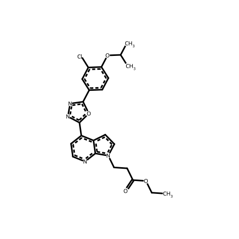 CCOC(=O)CCn1ccc2c(-c3nnc(-c4ccc(OC(C)C)c(Cl)c4)o3)ccnc21